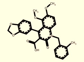 COc1ccc2c(c1OC)c(-c1ccc3c(c1)OCO3)c(C(=O)O)c(=O)n2Cc1ccccc1C